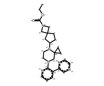 CCOC(=O)N1CC2(CCC(N3CCN(c4ncccc4-c4cnccn4)CC34CC4)C2)C1